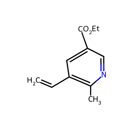 C=Cc1cc(C(=O)OCC)cnc1C